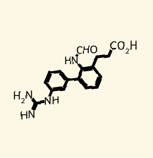 N=C(N)Nc1cccc(-c2cccc(CCC(=O)O)c2NC=O)c1